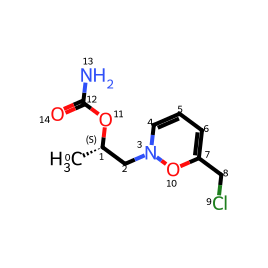 C[C@@H](CN1C=CC=C(CCl)O1)OC(N)=O